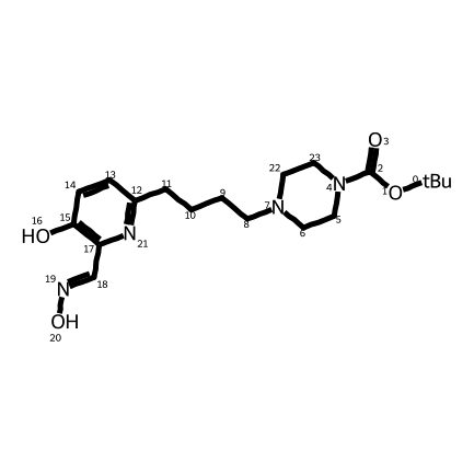 CC(C)(C)OC(=O)N1CCN(CCCCc2ccc(O)c(/C=N/O)n2)CC1